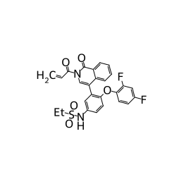 C=CC(=O)n1cc(-c2cc(NS(=O)(=O)CC)ccc2Oc2ccc(F)cc2F)c2ccccc2c1=O